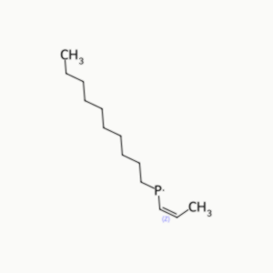 C/C=C\[P]CCCCCCCCCC